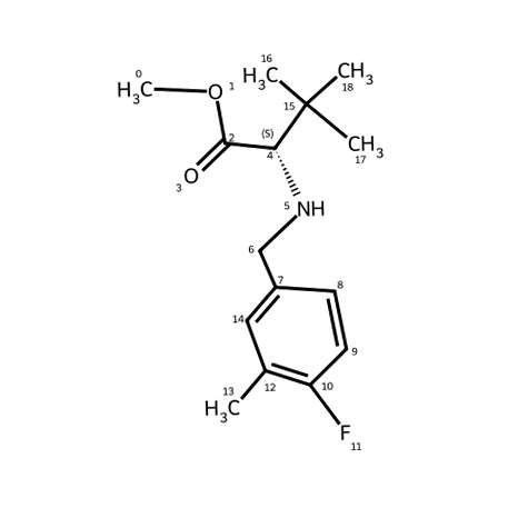 COC(=O)[C@@H](NCc1ccc(F)c(C)c1)C(C)(C)C